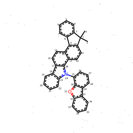 CC1(C)c2ccccc2-c2c1ccc1c2ccc2c3ccccc3n(-c3cccc4c3oc3ccccc34)c12